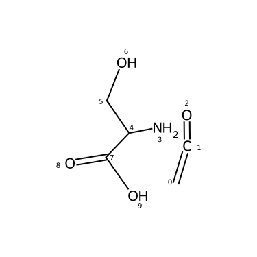 C=C=O.NC(CO)C(=O)O